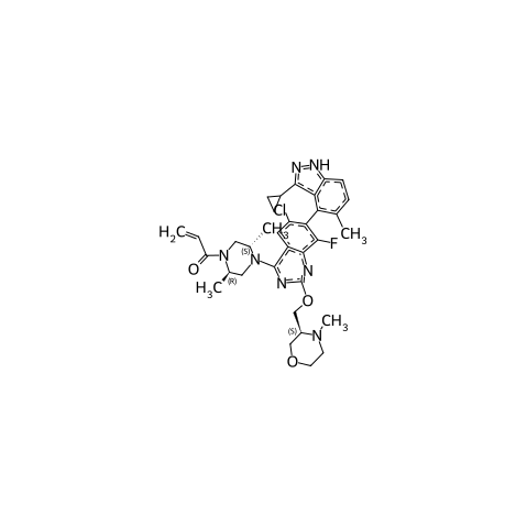 C=CC(=O)N1C[C@H](C)N(c2nc(OC[C@@H]3COCCN3C)nc3c(F)c(-c4c(C)ccc5[nH]nc(C6CC6)c45)c(Cl)cc23)C[C@H]1C